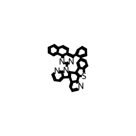 c1ccc(-c2nc(-n3c4ncccc4c4c5cccnc5c5sc6ccccc6c5c43)nc3c2ccc2ccccc23)cc1